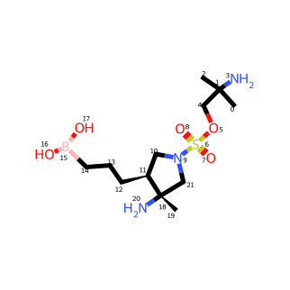 CC(C)(N)COS(=O)(=O)N1C[C@H](CCCB(O)O)[C@@](C)(N)C1